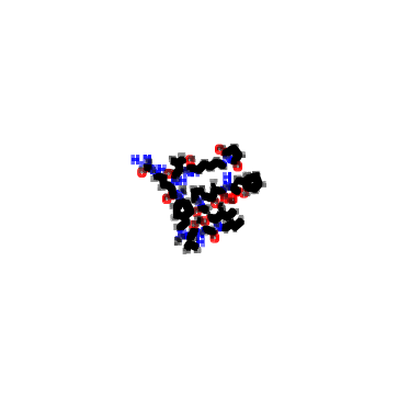 CCCCN(C(=O)CNC(=O)[C@H](C(C)C)N(C)CCC1C=CC(N(C)C(=O)C(CCCNC(N)=O)NC(=O)[C@@H](NC(=O)CCCCCN2C(=O)C=CC2=O)C(C)C)=CC1)[C@@H]([C@@H](C)CC)[C@@H](CC(=O)N1CCC[C@H]1[C@H](OC)[C@@H](C)C(O)N[C@@H](Cc1ccccc1)C(=O)O)OC